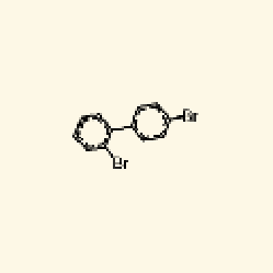 Brc1ccc(-c2ccccc2Br)cc1